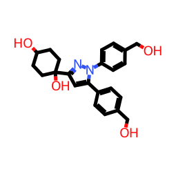 OCc1ccc(-c2cc(C3(O)CCC(O)CC3)nn2-c2ccc(CO)cc2)cc1